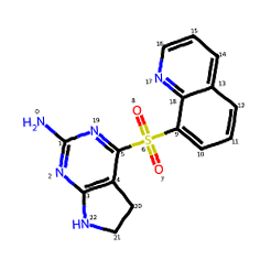 Nc1nc2c(c(S(=O)(=O)c3cccc4cccnc34)n1)CCN2